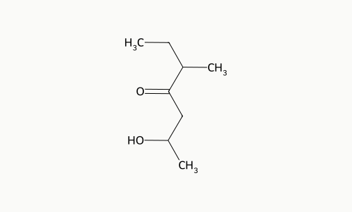 CCC(C)C(=O)CC(C)O